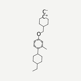 [CH2-][C+]1CCC(COc2ccc(C3CCC(CC)CC3)c(C)c2)CC1